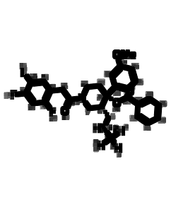 [2H]C([2H])([2H])NC[C@@H]1CN(C(=O)Cc2cc(F)c(F)cc2F)CC[C@@]1(OC(=O)c1ccccc1)c1cccc(OC)c1